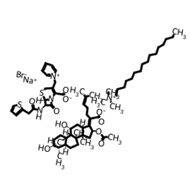 CC(=O)O[C@H]1C[C@@]2(C)[C@@H](C[C@@H](O)[C@H]3[C@@]4(C)CC[C@@H](O)[C@@H](C)[C@@H]4CC[C@@]32C)/C1=C(\CCC=C(C)C)C(=O)[O-].CCCCCCCCCCCCCCCC[N+](C)(C)C.O=C(Cc1cccs1)N[C@@H]1C(=O)N2C(C(=O)[O-])=C(C[n+]3ccccc3)CS[C@H]12.[Br-].[Na+]